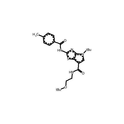 Cc1ccc(C(=O)Nc2nc3c(s2)c(C(=O)NCCOC(C)(C)C)cn3C(C)(C)C)cc1